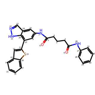 O=C(CCCC(=O)Nc1cc(-c2cc3ccccc3s2)c2[nH]ncc2c1)Nc1ccccc1